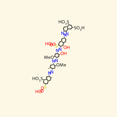 COc1cc(N=Nc2ccc3cc(SOOO)cc(S(=O)(=O)O)c3c2)c(C)cc1N=Nc1cc(O)c(N=Nc2c(SOOO)cc3cc(-n4nc5ccc6c(S(=O)(=O)O)cc(S(=O)(=O)O)cc6c5n4)ccc3c2O)cc1OC